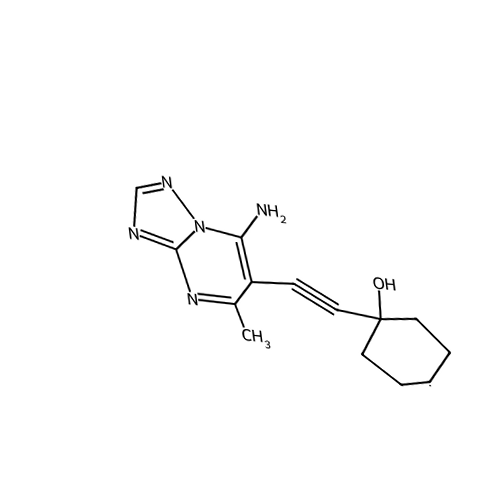 Cc1nc2ncnn2c(N)c1C#CC1(O)CC[CH]CC1